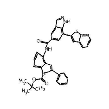 CC(C)(C)OC(=O)n1c(-c2ccccc2)cc2c(NC(=O)c3cc(-c4cc5ccccc5s4)c4[nH]ncc4c3)cccc21